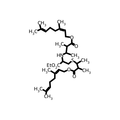 CCOC(=O)C(CSC(C)C(C)C(=O)OCC=C(C)CCC=C(C)C)NC(C)C(C)C(=O)OCC=C(C)CCC=C(C)C